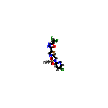 CCCS(=O)(=O)N(Cc1ncc(-c2nnc(C(F)F)o2)s1)c1ccc(Cl)cn1